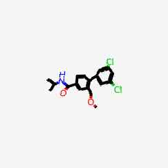 COCc1cc(C(=O)NC(C)C)ccc1-c1cc(Cl)cc(Cl)c1